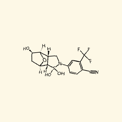 N#Cc1ccc(N2C[C@H]3[C@H]4O[C@H](C[C@H]4O)[C@H]3S2(O)O)cc1C(F)(F)F